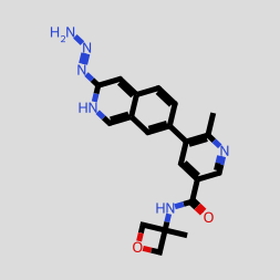 Cc1ncc(C(=O)NC2(C)COC2)cc1-c1ccc2c(c1)=CNC(N=NN)C=2